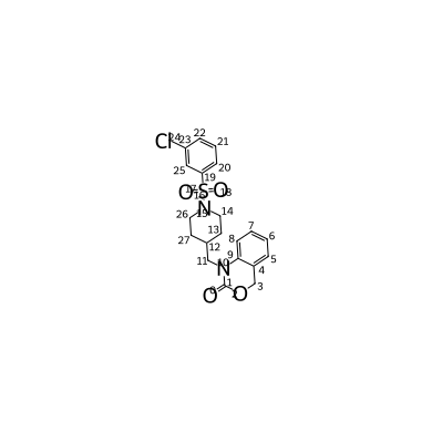 O=C1OCc2ccccc2N1CC1CCN(S(=O)(=O)c2cccc(Cl)c2)CC1